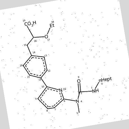 CCCCCCCNC(=O)N(C)c1cccc(-c2ccc(CC(OCC)C(=O)O)cc2)n1